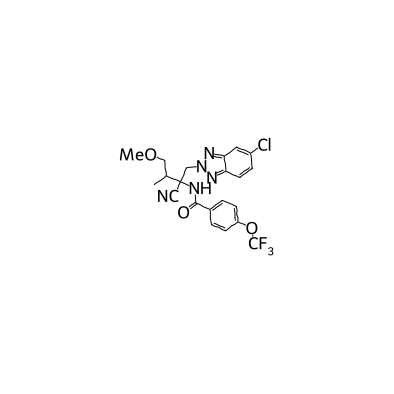 COCC(C)C(C#N)(Cn1nc2ccc(Cl)cc2n1)NC(=O)c1ccc(OC(F)(F)F)cc1